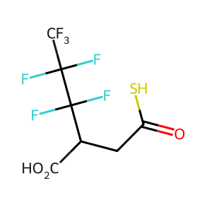 O=C(S)CC(C(=O)O)C(F)(F)C(F)(F)C(F)(F)F